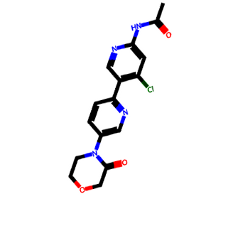 CC(=O)Nc1cc(Cl)c(-c2ccc(N3CCOCC3=O)cn2)cn1